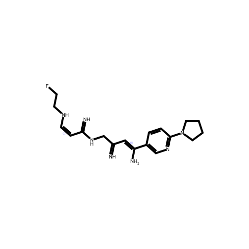 N=C(/C=C(\N)c1ccc(N2CCCC2)nc1)CNC(=N)/C=C\NCCF